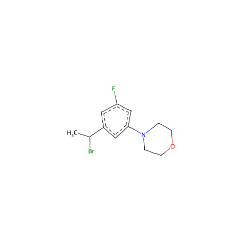 CC(Br)c1cc(F)cc(N2CCOCC2)c1